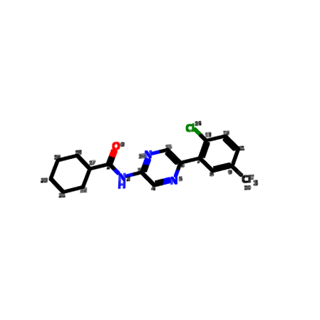 O=C(Nc1cnc(-c2cc(C(F)(F)F)ccc2Cl)cn1)C1CCCCC1